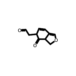 O=CCC1C=CC2=COCC2C1=O